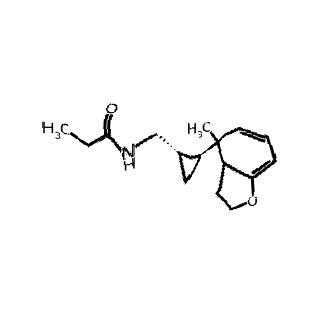 CCC(=O)NC[C@H]1C[C@@H]1C1(C)C=CC=C2OCCC21